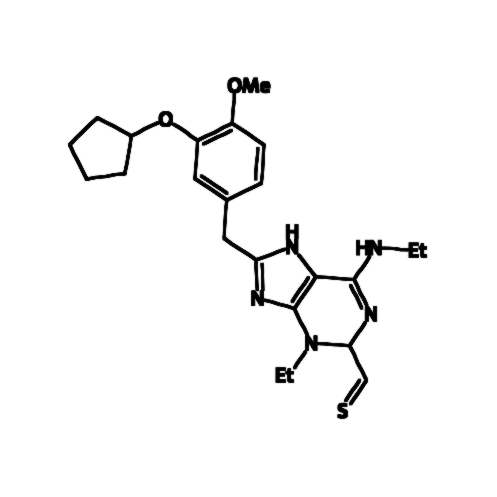 CCNC1=NC(C=S)N(CC)c2nc(Cc3ccc(OC)c(OC4CCCC4)c3)[nH]c21